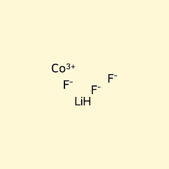 [Co+3].[F-].[F-].[F-].[LiH]